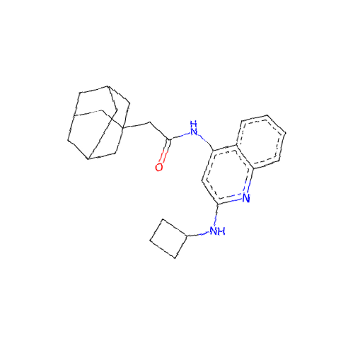 O=C(CC12CC3CC(CC(C3)C1)C2)Nc1cc(NC2CCC2)nc2ccccc12